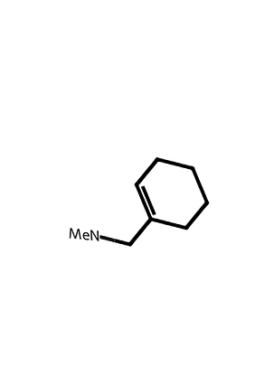 [CH2]NCC1=CCCCC1